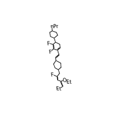 CC/C=C(\C=C(\F)CC1CCC(/C=C/C2=CCC(C3CCC(CCC)CC3)C(F)=C2F)CC1)OCC